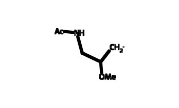 [CH2]C(CNC(C)=O)OC